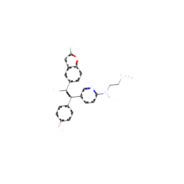 CC/C(=C(\c1ccc(O)cc1)c1ccc(N(C)CCNC)nc1)c1ccc2oc(Cl)cc2c1